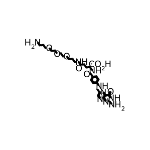 NCCCOCCOCCOCCCNC(=O)CC[C@@H](NC(=O)c1ccc(NCc2cnc3nc(N)[nH]c(=O)c3n2)cc1)C(=O)O